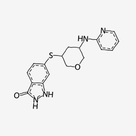 O=c1[nH][nH]c2cc(SC3COCC(Nc4ccccn4)C3)ccc12